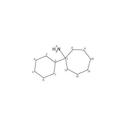 NC1(C2CCCCC2)CCCCCC1